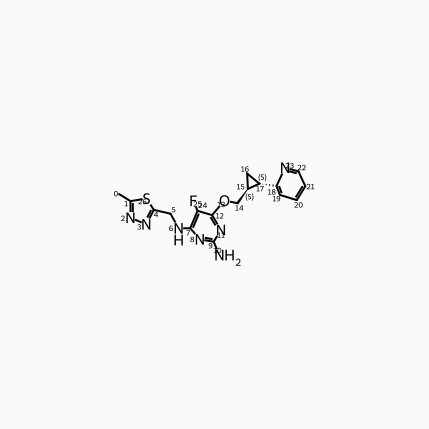 Cc1nnc(CNc2nc(N)nc(OC[C@H]3C[C@@H]3c3ccccn3)c2F)s1